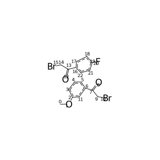 COc1cccc(C(=O)CBr)c1.O=C(CBr)c1ccc(F)cc1